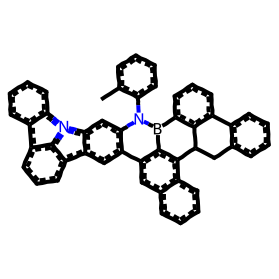 Cc1ccccc1N1B2c3cccc4c3C(Cc3ccccc3-4)c3c2c(cc2ccccc32)-c2cc3c4cccc5c6ccccc6n(c3cc21)c54